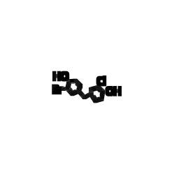 Oc1ccc(Cc2ccc(O)c(Br)c2)cc1Cl